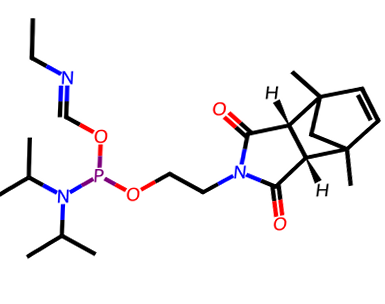 CC/N=C/OP(OCCN1C(=O)[C@@H]2[C@H](C1=O)C1(C)C=CC2(C)C1)N(C(C)C)C(C)C